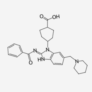 O=C(/N=c1\[nH]c2ccc(CN3CCCCC3)cc2n1C1CCC(C(=O)O)CC1)c1ccccc1